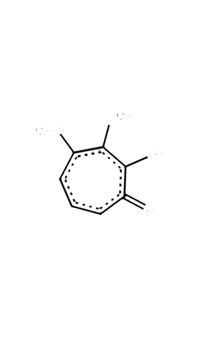 COc1cccc(=O)c(O)c1OC